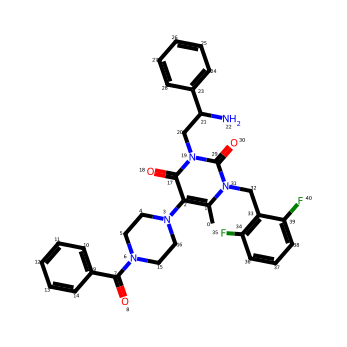 Cc1c(N2CCN(C(=O)c3ccccc3)CC2)c(=O)n(CC(N)c2ccccc2)c(=O)n1Cc1c(F)cccc1F